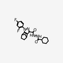 O=C(NNC(=O)C1CCCCC1)c1nn(-c2ccc(F)cc2F)c2c1C1CCC2C1